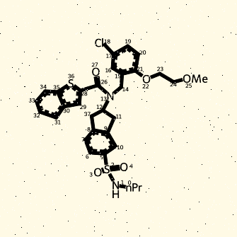 CCCNS(=O)(=O)c1ccc2c(c1)CC(N(Cc1cc(Cl)ccc1OCCOC)C(=O)c1cc3ccccc3s1)C2